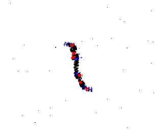 Cc1c[n+](CCCCCCCCCC[n+]2ccc(/C=C/c3ccc(N(C)CCC#N)cc3)c(C)c2)ccc1/C=C/c1ccc(N(C)CCC#N)cc1